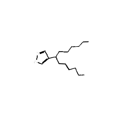 CCCCCCC(CCCCCC)c1cn[nH]c1